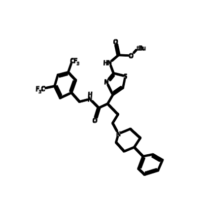 CC(C)(C)OC(=O)Nc1nc(C(CCN2CCC(c3ccccc3)CC2)C(=O)NCc2cc(C(F)(F)F)cc(C(F)(F)F)c2)cs1